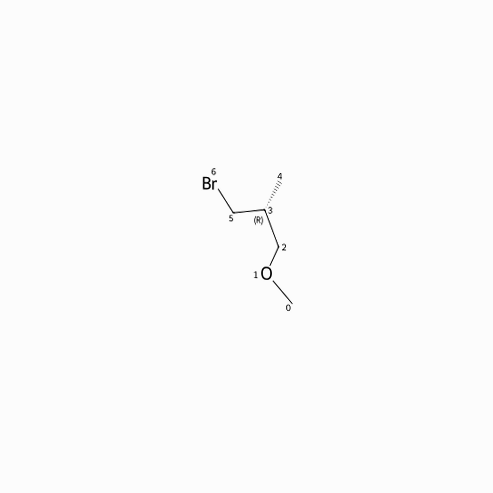 COC[C@@H](C)CBr